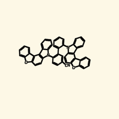 N#Cc1ccc(-n2c3ccccc3c3c4c(ccc32)oc2ccccc24)c(-c2ccccc2-n2c3ccccc3c3c4c(ccc32)oc2ccccc24)c1